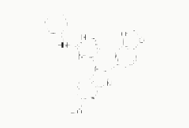 COc1ccc2c(c1)nc(-c1ccc3c(c1)OCO3)n2-c1ccnc(NC2CCCCC2)n1